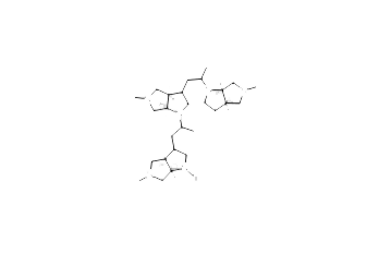 CC(CC1CN(C(C)CC2CN(C(C)C)[C@@H]3CN(C)C[C@@H]23)[C@H]2CN(C)C[C@@H]12)N1CC[C@H]2CN(C)C[C@H]21